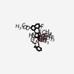 COCOc1cc(-c2nc3c4c(nc(S(C)(=O)=O)nc4c2F)N(Cc2ccccc2)[C@@H](C2CC2)CO3)c2c(C#C[Si](C(C)C)(C(C)C)C(C)C)c(F)ccc2c1